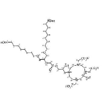 CCCCCCCCCCCCCCCCCCOCC(COCCCCCCCCCCCCCCCCCC)OCC(=O)OCC(O)CN1CCN(CC(=O)O)CCN(CC(=O)O)[CH]([Gd])CN(CC(=O)O)CC1